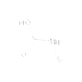 O=C(O)N[S]